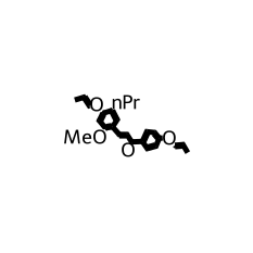 CC=COc1ccc(C(=O)C=Cc2cc(CCC)c(OC=CC)cc2OC)cc1